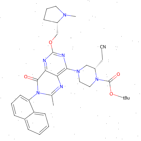 Cc1nc2c(N3CCN(C(=O)OC(C)(C)C)[C@@H](CC#N)C3)nc(OC[C@@H]3CCCN3C)nc2c(=O)n1-c1cccc2ccccc12